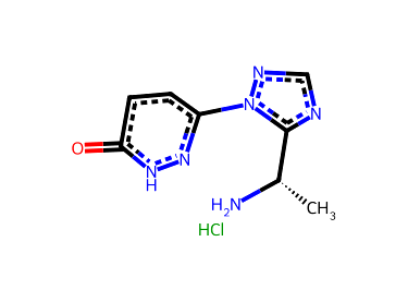 C[C@H](N)c1ncnn1-c1ccc(=O)[nH]n1.Cl